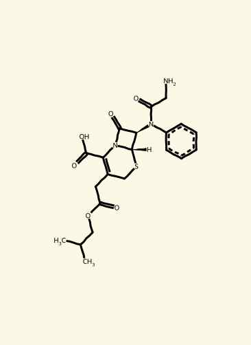 CC(C)COC(=O)CC1=C(C(=O)O)N2C(=O)[C@@H](N(C(=O)CN)c3ccccc3)[C@@H]2SC1